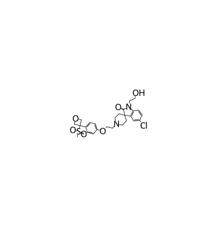 CS(=O)(=O)C1(c2ccc(OCCN3CCC4(CC3)C(=O)N(CCO)c3ccc(Cl)cc34)cc2)COC1